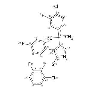 CC(C)(c1ccc(Cl)c(F)c1)c1cnc(SCc2c(F)cccc2Cl)n1-c1ccc(F)cc1